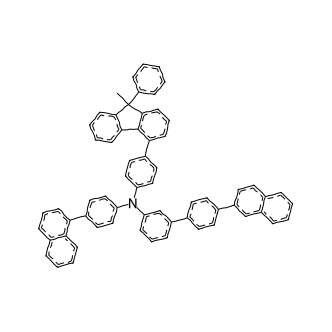 CC1(c2ccccc2)c2ccccc2-c2c(-c3ccc(N(c4ccc(-c5cccc6ccccc56)cc4)c4cccc(-c5ccc(-c6ccc7ccccc7c6)cc5)c4)cc3)cccc21